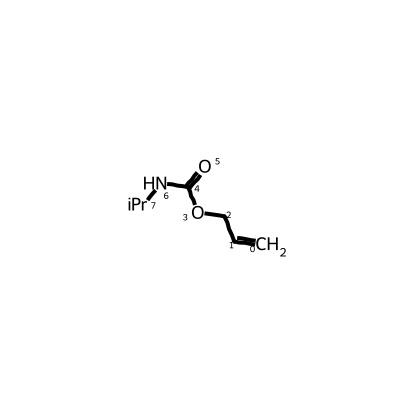 C=CCOC(=O)NC(C)C